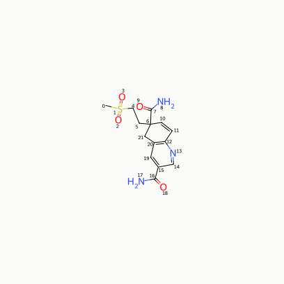 CS(=O)(=O)CCC1(C(N)=O)C=Cc2ncc(C(N)=O)cc2C1